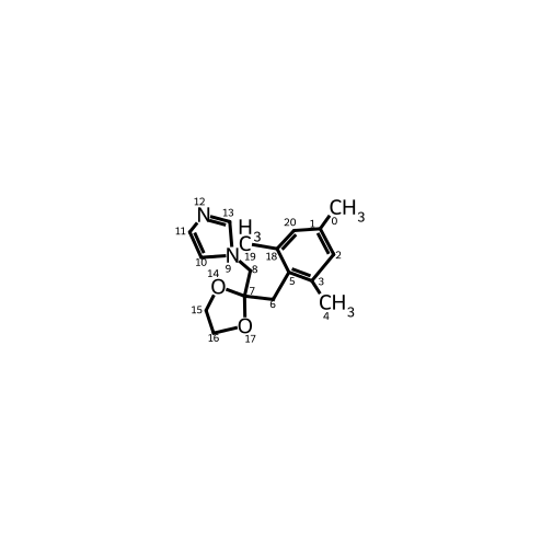 Cc1cc(C)c(CC2(Cn3ccnc3)OCCO2)c(C)c1